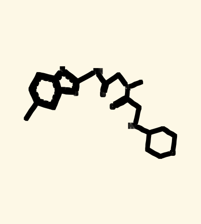 Cc1ccc2nc(NC(=O)CN(C)C(=O)CNC3CCOCC3)sc2c1